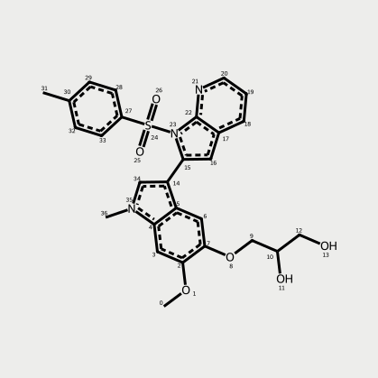 COc1cc2c(cc1OCC(O)CO)c(-c1cc3cccnc3n1S(=O)(=O)c1ccc(C)cc1)cn2C